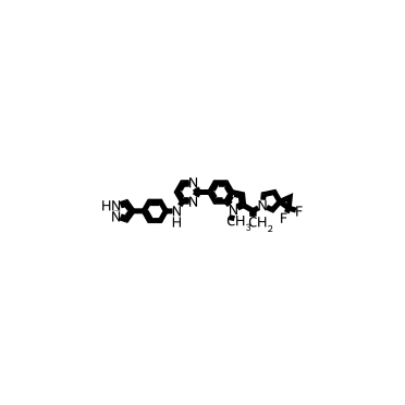 C=C(c1cc2ccc(-c3nccc(NC4C=CC(c5cn[nH]c5)=CC4)n3)cc2n1C)N1CCC2(C1)CC2(F)F